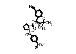 CC1(C)Oc2ccc(C#N)cc2[C@H](OC(=O)[C@@H]2CCCN2S(=O)(=O)c2ccc([N+](=O)[O-])cc2)[C@H]1Br